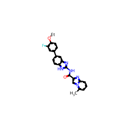 CCOc1ccc(-c2ccc3[nH]c(NC(=O)c4cn5c(C)cccc5n4)nc3c2)cc1F